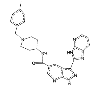 Cc1ccc(CN2CCC(NC(=O)c3cnc4[nH]nc(-c5nc6cccnc6[nH]5)c4c3)CC2)cc1